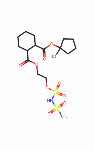 CCC1(OC(=O)C2CCCCC2C(=O)OCCOS(=O)(=O)NS(=O)(=O)C(F)(F)F)CCCC1